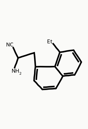 CCc1cccc2cccc(CC(N)C#N)c12